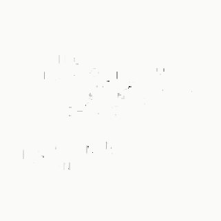 CC1(C)O[C@H]2[C@@H](O1)[C@](C#N)(C1SC=C3C(N)=NC=NC31)O[C@@H]2COC1CCCCO1